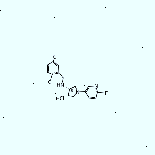 Cl.Fc1ccc(N2CC[C@H](NCc3cc(Cl)ccc3Cl)C2)cn1